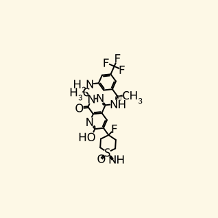 C[C@@H](Nc1nn(C)c(=O)c2nc(O)c(C3(F)CCS(=N)(=O)CC3)cc12)c1cc(N)cc(C(F)(F)F)c1